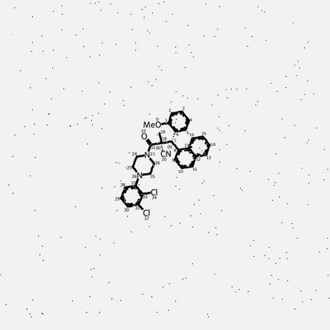 COc1ccccc1[C@H](c1cccc2ccccc12)[C@@](C)(C#N)C(=O)N1CCN(c2cccc(Cl)c2Cl)CC1